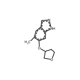 Cc1cc2cn[nH]c2cc1OC1CCOC1